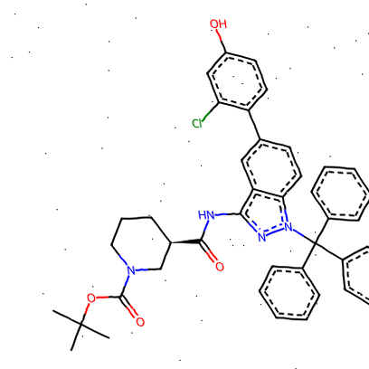 CC(C)(C)OC(=O)N1CCC[C@@H](C(=O)Nc2nn(C(c3ccccc3)(c3ccccc3)c3ccccc3)c3ccc(-c4ccc(O)cc4Cl)cc23)C1